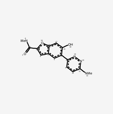 CNC(=O)c1cc2cc(-c3ccc(NC)nn3)c(O)cc2o1